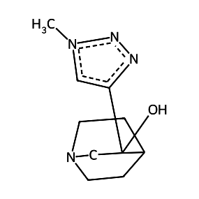 Cn1cc(C2(O)CN3CCC2CC3)nn1